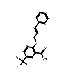 O=C(O)c1cc(C(F)(F)F)ccc1SC/C=C/c1ccccc1